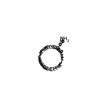 Nc1cccc(-c2ccc(CCN3CCCCCCCCCCCCCCCCCCCCCCCCCCCCCCCCCCCCCCCCCCCCCCCCC4(CCCC4)CC3)cc2)n1